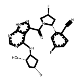 N#Cc1ccc(F)cc1[C@H]1C[C@H](F)CN1C(=O)c1n[nH]c2ncnc(N[C@H]3C[C@H](F)C[C@@H]3O)c12